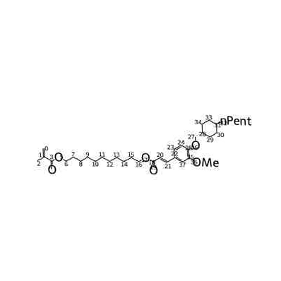 C=C(C)C(=O)OCCCCCCCCCCCOC(=O)C=Cc1ccc(OC[C@H]2CC[C@H](CCCCC)CC2)c(OC)c1